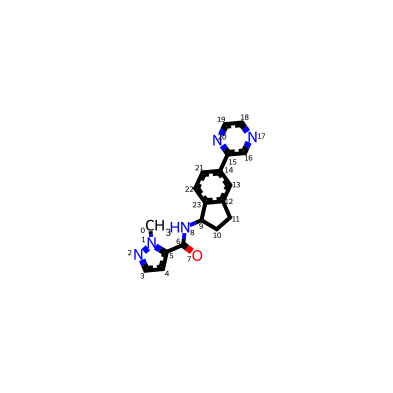 Cn1nccc1C(=O)NC1CCc2cc(-c3cnccn3)ccc21